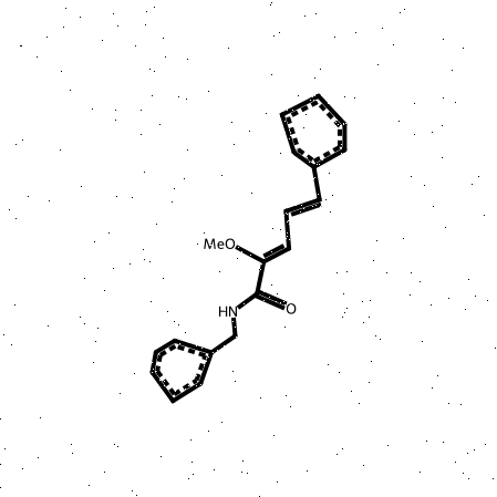 CO/C(=C\C=C\c1ccccc1)C(=O)NCc1ccccc1